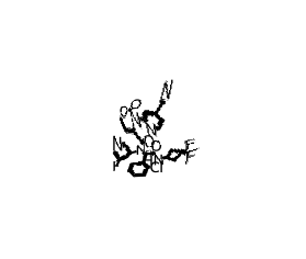 N#Cc1ccnc(N2C(=O)OCCC2C(=O)N(c2cncc(F)c2)[C@H](C(=O)NC2CC(F)(F)C2)c2ccccc2Cl)c1